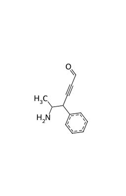 CC(N)C(C#CC=O)c1ccccc1